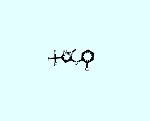 Cn1nc(C(F)(F)F)cc1Oc1cc[c]cc1Cl